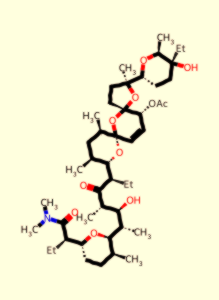 CC[C@@H](C(=O)[C@@H](C)[C@@H](O)[C@H](C)[C@@H]1O[C@@H]([C@@H](CC)C(=O)N(C)C)CC[C@@H]1C)[C@H]1O[C@]2(C=C[C@@H](OC(C)=O)[C@]3(CC[C@@](C)([C@H]4CC[C@](O)(CC)[C@H](C)O4)O3)O2)[C@H](C)C[C@@H]1C